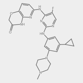 CN1CCN(c2cc(Nc3ncc(F)c(Nc4ccc5c(n4)NC(=O)CO5)n3)cc(C3CC3)c2)CC1